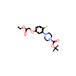 CCOC(=O)COc1ccc(F)c(N2CCN(C(=O)OC(C)(C)C)CC2)c1